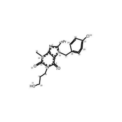 CCCc1nc2c(c(=O)n(CCCO)c(=O)n2C)n1CC1=C=C=C(Cl)C=C1